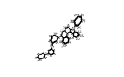 C1=CC(c2cccc(C3=C[C@H](C4=CC5C=Cc6c(c7ccccc7n6-c6ccccc6)C5c5ccccc54)CC=C3)c2)=CCC1